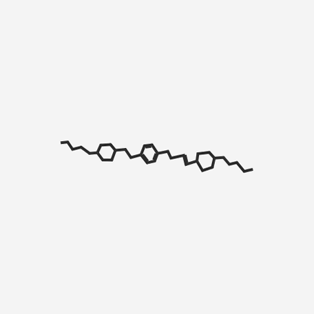 CCCCCC1CCC(C=CCCc2ccc(CCC3CCC(CCCCC)CC3)cc2)CC1